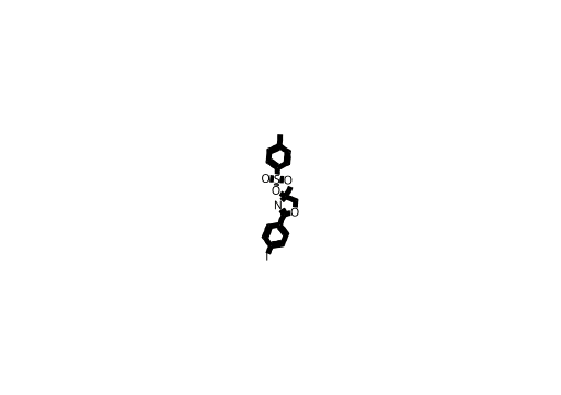 Cc1ccc(S(=O)(=O)OC2(C)COC(c3ccc(I)cc3)=N2)cc1